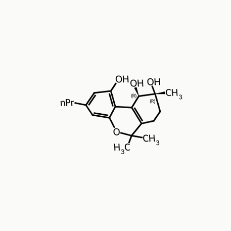 CCCc1cc(O)c2c(c1)OC(C)(C)C1=C2[C@@H](O)[C@](C)(O)CC1